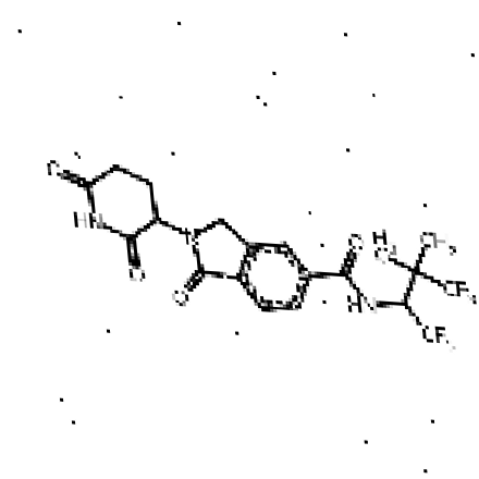 CC(C)(C(NC(=O)c1ccc2c(c1)CN(C1CCC(=O)NC1=O)C2=O)C(F)(F)F)C(F)(F)F